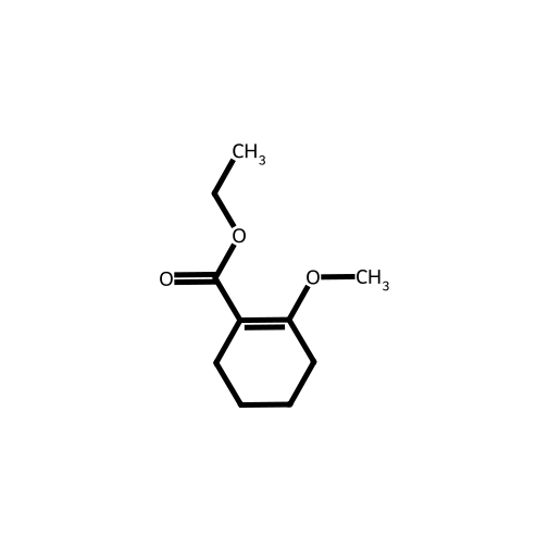 CCOC(=O)C1=C(OC)CCCC1